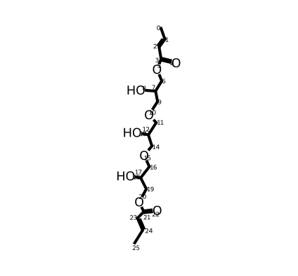 CC=CC(=O)OCC(O)COCC(O)COCC(O)COC(=O)C=CC